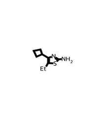 [CH2]Cc1sc(N)nc1C1CCC1